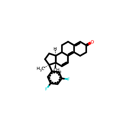 C[C@]12C=CC3=C4CCC(=O)C=C4CCC3[C@@H]1CC[C@]2(C)c1cc(F)cc(F)c1